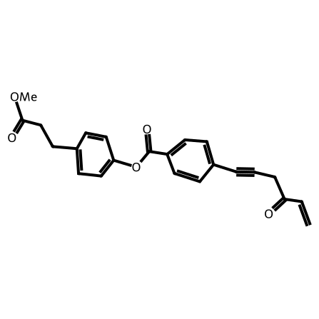 C=CC(=O)CC#Cc1ccc(C(=O)Oc2ccc(CCC(=O)OC)cc2)cc1